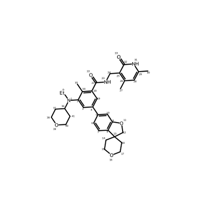 CCN(c1cc(-c2ccc3c(c2)OCC32CCOCC2)cc(C(=O)NCc2c(C)cc(C)[nH]c2=O)c1C)C1CCOCC1